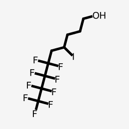 OCCCC(I)CC(F)(F)C(F)(F)C(F)(F)C(F)(F)F